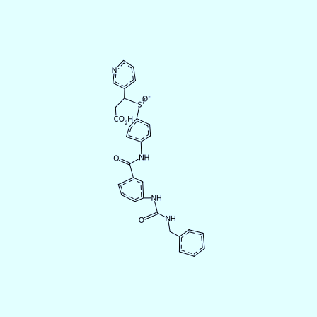 O=C(O)CC(c1cccnc1)[S+]([O-])c1ccc(NC(=O)c2cccc(NC(=O)NCc3ccccc3)c2)cc1